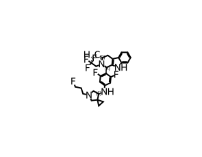 C[C@@H]1Cc2c([nH]c3ccccc23)[C@@H](c2c(F)cc(N[C@@H]3CN(CCCF)CC34CC4)cc2F)N1CC(F)(F)F